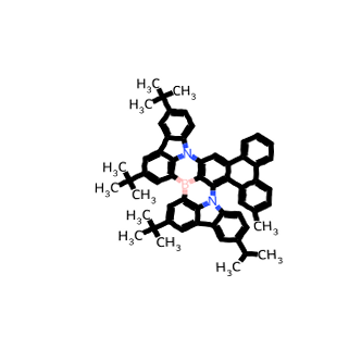 Cc1ccc2c3ccccc3c3cc4c5c(c3c2c1)-n1c2ccc(C(C)C)cc2c2cc(C(C)(C)C)cc(c21)B5c1cc(C(C)(C)C)cc2c3cc(C(C)(C)C)ccc3n-4c12